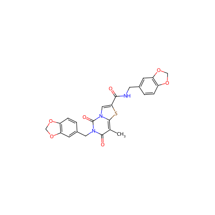 Cc1c(=O)n(Cc2ccc3c(c2)OCO3)c(=O)n2cc(C(=O)NCc3ccc4c(c3)OCO4)sc12